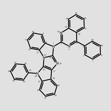 c1ccc(-c2nc(-n3c4ccccc4n4c3nc3c5ccccc5n(-c5ccccc5)c34)nc3ccccc23)cc1